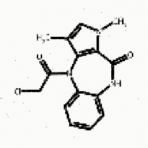 Cc1cn(C)c2c1N(C(=O)CCl)c1ccccc1NC2=O